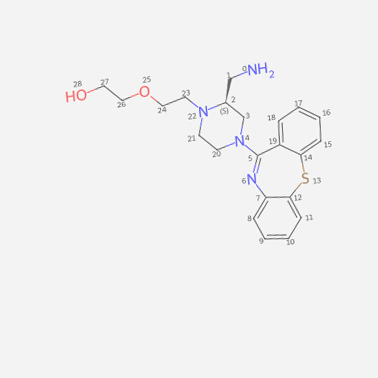 NC[C@H]1CN(C2=Nc3ccccc3Sc3ccccc32)CCN1CCOCCO